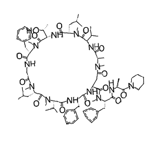 CC(C)C[C@H]1C(=O)N(C)[C@@H](C(C)C)C(=O)N[C@@H](Cc2ccccc2)C(=O)N[C@H](C(=O)N(C)[C@@H](Cc2ccccc2)C(=O)N[C@@H](C)C(=O)N2CCCCC2)CC(=O)N(C)C(C)C(=O)NC(C(C)C)C(=O)N(C)[C@@H](CC(C)C)C(=O)N[C@@H]([C@@H](C)O)C(=O)N(C)[C@@H](Cc2ccccc2)C(=O)NCC(=O)N1C